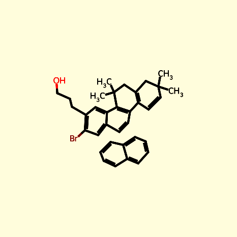 CC1(C)C=CC2=C(C1)CC(C)(C)c1c2ccc2cc(Br)c(CCCO)cc12.c1ccc2ccccc2c1